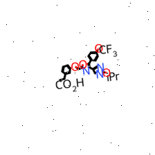 CC(C)Oc1ncc(-c2nc(COc3cccc(CCC(=O)O)c3)oc2-c2ccc(OC(F)(F)F)cc2)cn1